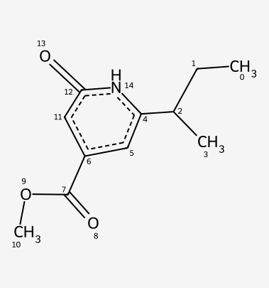 CCC(C)c1cc(C(=O)OC)cc(=O)[nH]1